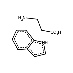 NCCC(=O)O.c1ccc2[nH]ccc2c1